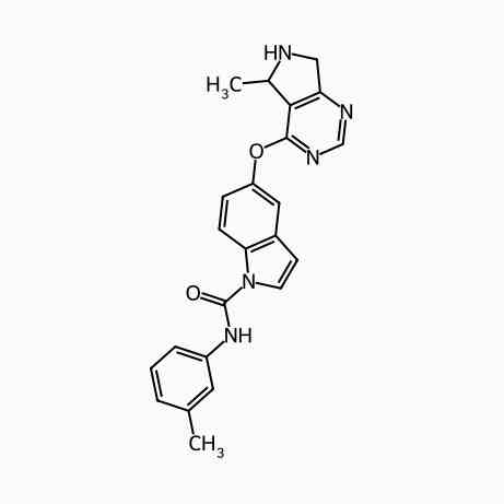 Cc1cccc(NC(=O)n2ccc3cc(Oc4ncnc5c4C(C)NC5)ccc32)c1